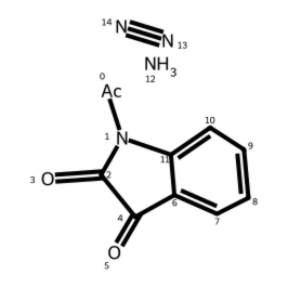 CC(=O)N1C(=O)C(=O)c2ccccc21.N.N#N